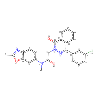 Cc1nc2ccc(N(C)C(=O)Cn3nc(-c4cccc(Cl)c4)c4ccccc4c3=O)cc2o1